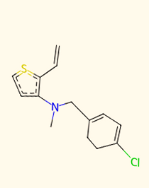 C=Cc1sccc1N(C)CC1=CC=C(Cl)CC1